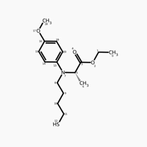 CCOC(=O)[C@H](C)N(CCCCS)c1ccc(OC)cc1